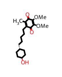 COC1=C(OC)C(=O)C(CCCCC[C@H]2CC[C@H](O)CC2)=C(C)C1=O